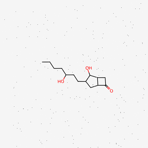 CCCCC(O)CCC1CC2C(=O)CC2C1O